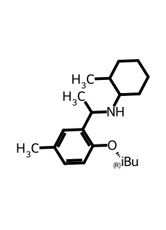 CC[C@@H](C)Oc1ccc(C)cc1C(C)NC1CCCCC1C